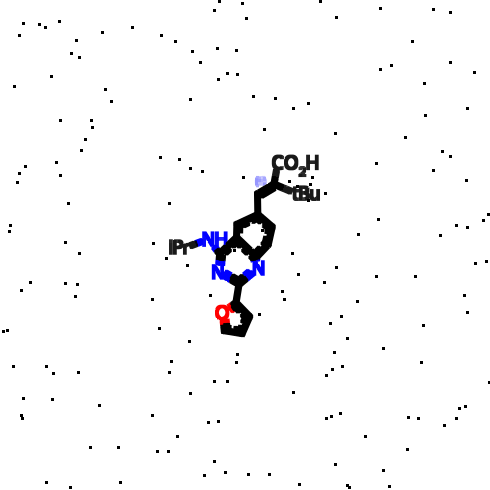 CC(C)Nc1nc(-c2ccco2)nc2ccc(/C=C(/C(=O)O)C(C)(C)C)cc12